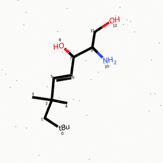 CC(C)(C)CC(C)(C)/C=C/C(O)C(N)CO